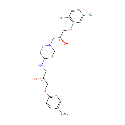 COc1ccc(OC[C@H](O)CNC2CCN(C[C@H](O)COc3cc(Cl)ccc3Cl)CC2)cc1